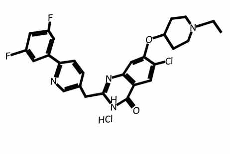 CCN1CCC(Oc2cc3nc(Cc4ccc(-c5cc(F)cc(F)c5)nc4)[nH]c(=O)c3cc2Cl)CC1.Cl